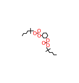 CCCCC(C)(C)COC(=O)OC1CCCC(OC(=O)OCC(C)(C)CCCC)C1